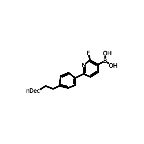 CCCCCCCCCCCCc1ccc(-c2ccc(B(O)O)c(F)n2)cc1